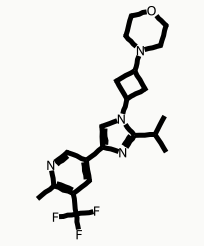 Cc1ncc(-c2cn(C3CC(N4CCOCC4)C3)c(C(C)C)n2)cc1C(F)(F)F